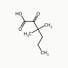 CCCC(C)(C)C(=O)C(=O)O